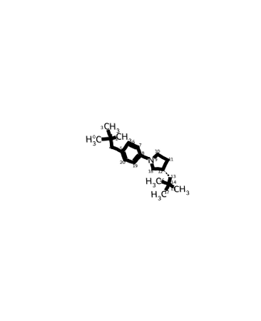 CC(C)(C)Cc1ccc(N2CC[C@H](CC(C)(C)C)C2)cc1